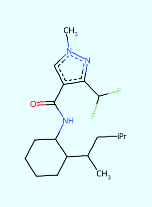 CC(C)CC(C)C1CCCCC1NC(=O)c1cn(C)nc1C(F)F